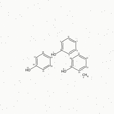 C.Oc1ccccc1.Oc1ccccc1.Oc1ccccc1